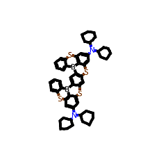 c1ccc2c(c1)Sc1cc(N(C3CCCCC3)C3CCCCC3)cc3c1B2c1cc2c(cc1S3)Sc1cc(N(C3CCCCC3)C3CCCCC3)cc3c1B2c1ccccc1S3